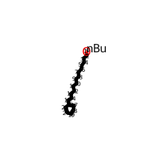 CCCCOCCCCCCCCCCCCCCc1ccccc1